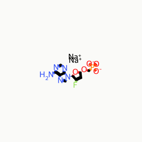 Nc1ncnc2c1ncn2[C@@H]1O[C@H](OCP(=O)([O-])[O-])C=C1F.[Na+].[Na+]